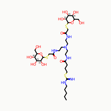 CCCCCNC(=N)SCCCC(=O)NCCN(CCNC(=O)CSC1OC(CO)[C@H](O)[C@H](O)[C@@H]1O)CCNC(=O)CSC1OC(CO)[C@H](O)[C@H](O)[C@@H]1O